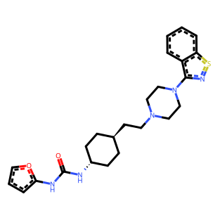 O=C(Nc1ccco1)N[C@H]1CC[C@H](CCN2CCN(c3nsc4ccccc34)CC2)CC1